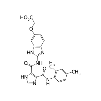 Cc1ccc(NC(=O)c2nc[nH]c2C(=O)Nc2nc3ccc(OCC(=O)O)cc3[nH]2)c(C)c1